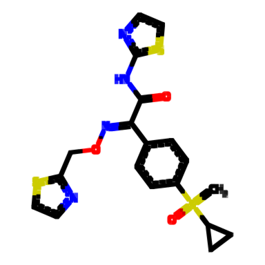 C=S(=O)(c1ccc(/C(=N\OCc2nccs2)C(=O)Nc2nccs2)cc1)C1CC1